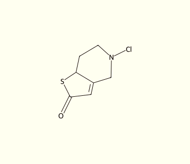 O=C1C=C2CN(Cl)CCC2S1